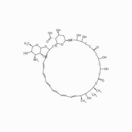 C[C@@H]1OC(=O)CC(O)CC(O)CC(=O)CCC(O)C(O)CC2(O)C[C@H](O)[C@@H](C(=O)O)[C@H](CC(OC3O[C@H](C)C(O)[C@H](N)[C@@H]3O)/C=C/C=C/C=C/C=C/C=C/C=C/C=C/[C@H](C)C(O)[C@H]1C)O2